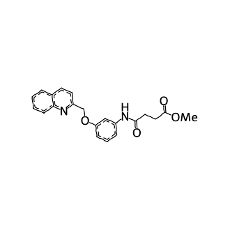 COC(=O)CCC(=O)Nc1cccc(OCc2ccc3ccccc3n2)c1